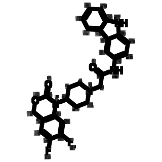 O=C(CN1CCC(N2C(=O)OCc3cc(F)c(F)cc32)CC1)Nc1ccc2[nH]c3ccccc3c2c1